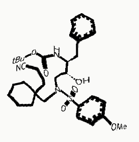 COc1ccc(S(=O)(=O)N(C[C@@H](O)[C@H](Cc2ccccc2)NC(=O)OC(C)(C)C)CC2(CCC#N)CCCCC2)cc1